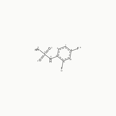 CCCS(=O)(=O)Nc1ccc(F)cc1F